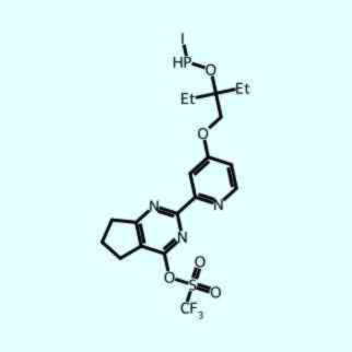 CCC(CC)(COc1ccnc(-c2nc3c(c(OS(=O)(=O)C(F)(F)F)n2)CCC3)c1)OPI